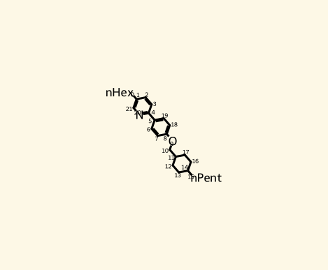 CCCCCCc1ccc(-c2ccc(OCC3CCC(CCCCC)CC3)cc2)nc1